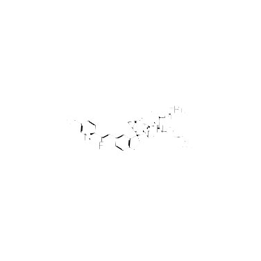 CC(C)(C)OC(=O)N(COCC[Si](C)(C)C)C1=NC(C)(c2cc(/C=C(\F)c3ccc(Cl)cn3)ccc2F)C2CC2(C(=O)O)S1